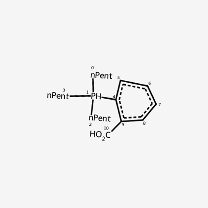 CCCCC[PH](CCCCC)(CCCCC)c1ccccc1C(=O)O